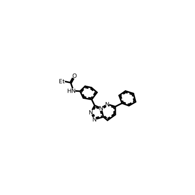 CCC(=O)Nc1cccc(-c2nnc3ccc(-c4ccccc4)nn23)c1